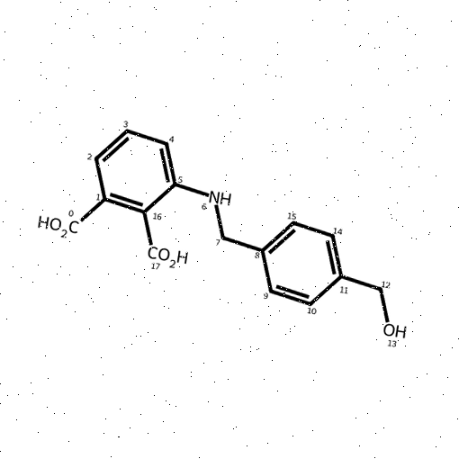 O=C(O)c1cccc(NCc2ccc(CO)cc2)c1C(=O)O